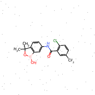 CC1(C)OB(O)c2cc(NC(=O)c3cc(C(F)(F)F)ccc3Cl)ccc21